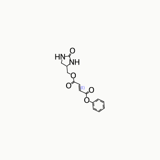 O=C1NCC(COC(=O)/C=C/C(=O)Oc2ccccc2)N1